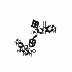 Cn1c(=O)n(C23CC4CC5(CCn6c(=O)n(C78CC9CC%10CC(C7)C%1098)c7nc(Nc8cn9ncnc9cc8Cl)ncc76)CC(C2)C45C3)c2nc(Nc3cn4ncnc4cc3Cl)ncc21